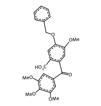 COc1cc(C(=O)c2cc(OC)c(OC)c(OC)c2)c(C(=O)O)cc1OCc1ccccc1